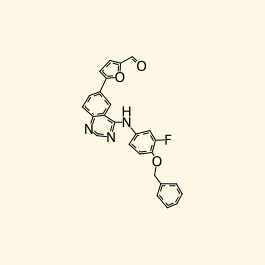 O=Cc1ccc(-c2ccc3ncnc(Nc4ccc(OCc5ccccc5)c(F)c4)c3c2)o1